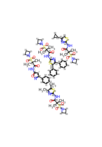 CC(C)(C(=O)Nc1cc(-c2ccccc2)no1)S(=O)(=O)N1CCC1.CC(C)(C(=O)Nc1nc(-c2ccccc2)c(-c2ccccc2)s1)S(=O)(=O)N1CCC1.CC(C)(C(=O)Nc1nc(C2CC2)cs1)S(=O)(=O)N1CCC1.Cc1nc(NC(=O)C(C)(C)S(=O)(=O)N2CCC2)sc1C